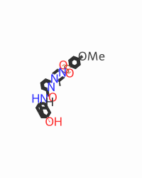 COc1ccc(S(=O)(=O)N2CCN(c3cccc(C(=O)N[C@H]4C5CC6CC4C[C@](O)(C6)C5)n3)[C@H](C)C2)cc1